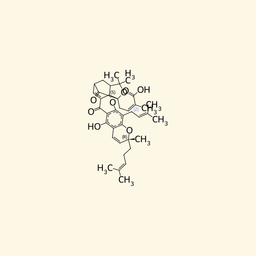 CC(C)=CCC[C@]1(C)C=Cc2c(O)c3c(c(CC=C(C)C)c2O1)O[C@]12C(=CC4CC1C(C)(C)OC2(C/C=C(/C)C(=O)O)C4=O)C3=O